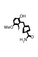 COc1ccc(O)c(Cc2ccc(C(N)=O)cc2)c1F